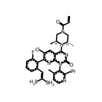 BC(B)=Cc1cccc(F)c1-c1nc2c(cc1Cl)c(N1[C@@H](C)CN(C(=O)C=C)C[C@@H]1C)nc(=O)n2-c1c(C)ccnc1C(C)C